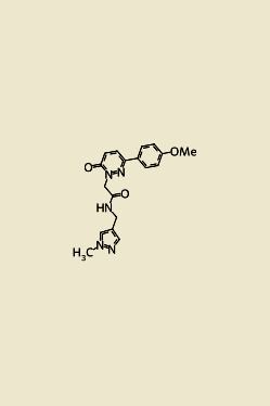 COc1ccc(-c2ccc(=O)n(CC(=O)NCc3cnn(C)c3)n2)cc1